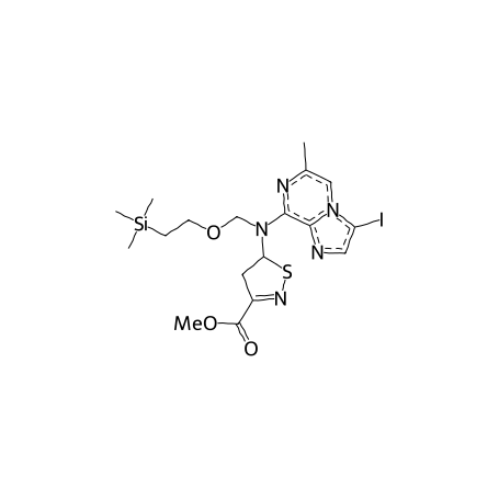 COC(=O)C1=NSC(N(COCC[Si](C)(C)C)c2nc(C)cn3c(I)cnc23)C1